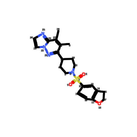 Cc1c(C2CCN(S(=O)(=O)c3ccc4c(c3)CCO4)CC2)nn2ccnc2c1C